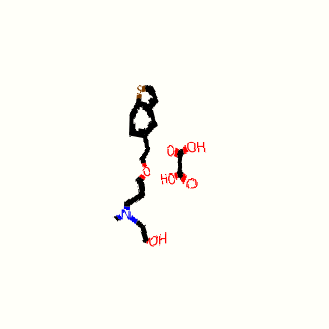 CN(CCO)CCCOCCc1ccc2sccc2c1.O=C(O)C(=O)O